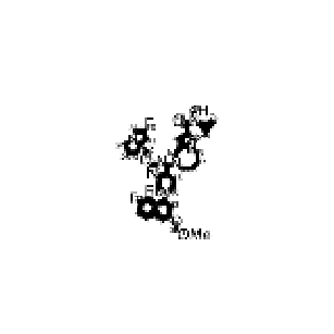 CCc1c(F)ccc2cc(OCOC)cc(N3CCc4c(nc(OC[C@@]56CCCN5C[C@H](F)C6)nc4N4CCCCn5nc(C(=O)N(C)C6CC6)cc5C4)C3)c12